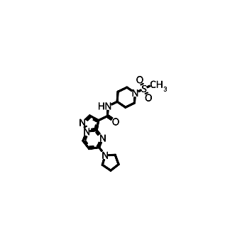 CS(=O)(=O)N1CCC(NC(=O)c2cnn3ccc(N4CCCC4)nc23)CC1